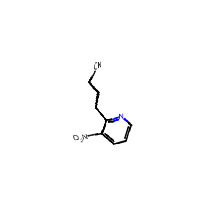 N#CCCCc1ncccc1[N+](=O)[O-]